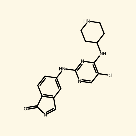 O=C1N=Cc2cc(Nc3ncc(Cl)c(NC4CCNCC4)n3)ccc21